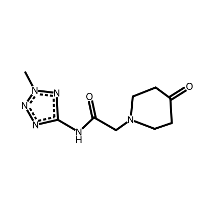 Cn1nnc(NC(=O)CN2CCC(=O)CC2)n1